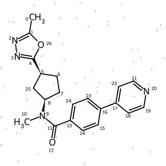 Cc1nnc([C@H]2CC[C@@H](N(C)C(=O)c3ccc(-c4ccncc4)cc3)C2)o1